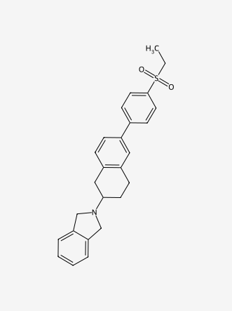 CCS(=O)(=O)c1ccc(-c2ccc3c(c2)CCC(N2Cc4ccccc4C2)C3)cc1